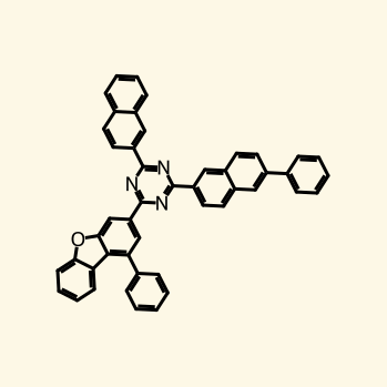 c1ccc(-c2ccc3cc(-c4nc(-c5ccc6ccccc6c5)nc(-c5cc(-c6ccccc6)c6c(c5)oc5ccccc56)n4)ccc3c2)cc1